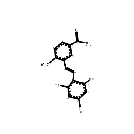 COc1ccc(C(N)=O)cc1C=Cc1c(F)cc(F)cc1F